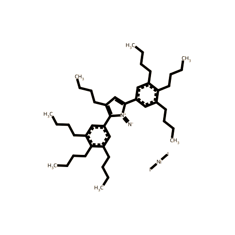 CCCCC1=C(c2cc(CCCC)c(CCCC)c(CCCC)c2)[N+](=[N-])C(c2cc(CCCC)c(CCCC)c(CCCC)c2)=C1.[I][Ni][I]